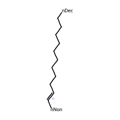 [CH2]CCCCCCCCCCCCCCCCCC/C=C/CCCCCCCCC